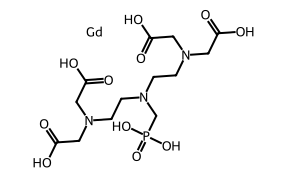 O=C(O)CN(CCN(CCN(CC(=O)O)CC(=O)O)CP(=O)(O)O)CC(=O)O.[Gd]